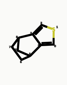 c1scc2c1C1CCC2C1